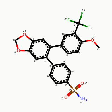 COc1ccc(-c2cc3c(cc2-c2ccc(S(N)(=O)=O)cc2)OCO3)cc1C(F)(F)F